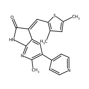 Cc1cc(C)c(C=C2C(=O)Nc3nc(C)c(-c4ccncc4)cc32)s1